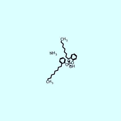 CCCCCCCCCc1ccccc1OP(=O)(O)Oc1ccccc1CCCCCCCCC.N